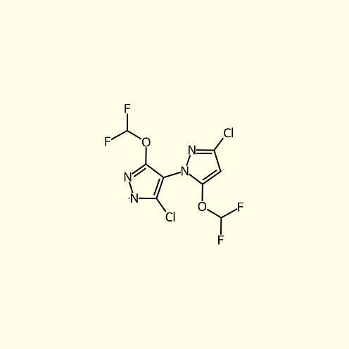 FC(F)OC1=N[N]C(Cl)=C1n1nc(Cl)cc1OC(F)F